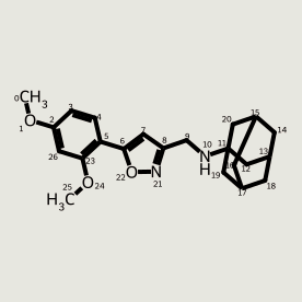 COc1ccc(-c2cc(CNC34CC5CC(CC(C5)C3)C4)no2)c(OC)c1